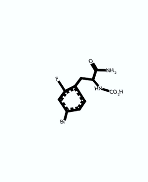 NC(=O)C(Cc1ccc(Br)cc1F)NC(=O)O